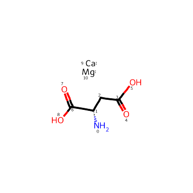 N[C@@H](CC(=O)O)C(=O)O.[Ca].[Mg]